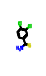 NC(=S)c1ccc(Cl)c(Cl)c1